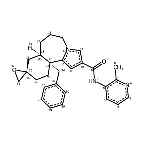 Cc1ncccc1NC(=O)c1cc2n(c1)CCC[C@@H]1C[C@@]3(CC[C@]21Cc1ccccc1)CO3